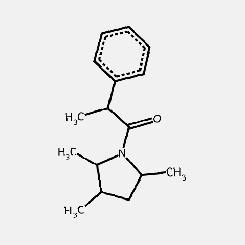 CC(C(=O)N1C(C)CC(C)C1C)c1ccccc1